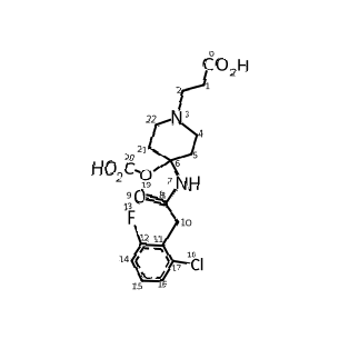 O=C(O)CCN1CCC(NC(=O)Cc2c(F)cccc2Cl)(OC(=O)O)CC1